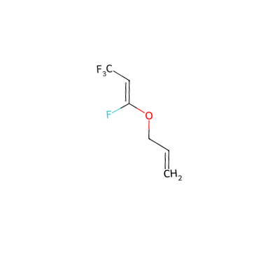 C=CCOC(F)=CC(F)(F)F